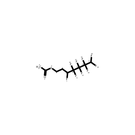 CC(=O)SCCC(F)C(F)(F)C(F)(F)C(F)(F)C(F)F